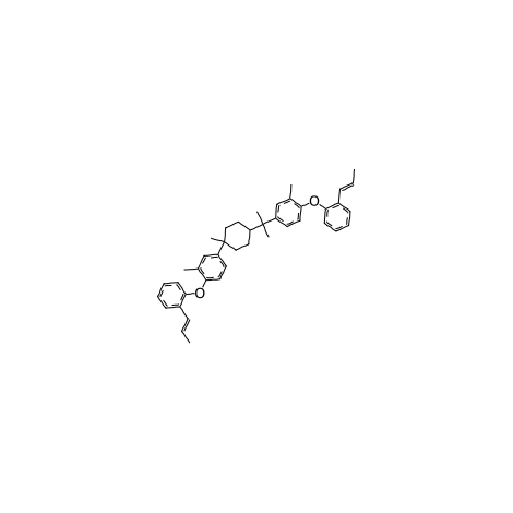 CC=Cc1ccccc1Oc1ccc(C2(C)CCC(C(C)(C)c3ccc(Oc4ccccc4C=CC)c(C)c3)CC2)cc1C